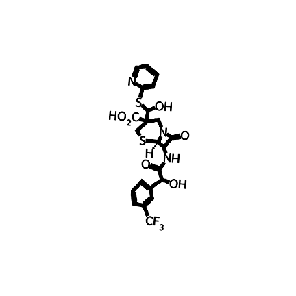 O=C(NC1C(=O)N2CC(C(=O)O)(C(O)Sc3ccccn3)CS[C@H]12)C(O)c1cccc(C(F)(F)F)c1